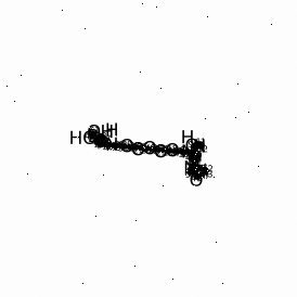 Cc1nn(-c2ccc(C(=O)N(C)C)c(NCCCOCCOCCOCCOCCOCCCNCc3ccc(B(O)O)cc3)c2)c2c1C(=O)CC(C)(C)C2